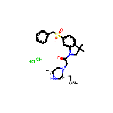 COC[C@H]1CN[C@H](C)CN1CC(=O)N1CC(C)(C)c2ccc(S(=O)(=O)Cc3ccccc3)cc21.Cl.Cl